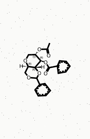 CC(=O)O[C@H]1CO[C@@H]2COC(c3ccccc3)O[C@H]2[C@@H]1OC(=O)c1ccccc1